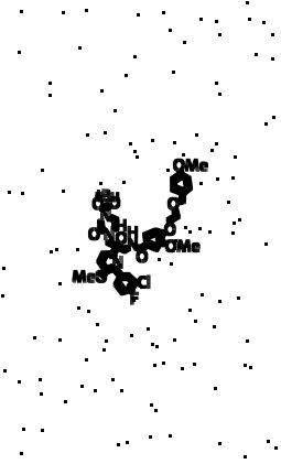 COc1ccc(COCCOc2ccc(C(=O)NCC(O)(CN3CCN(C(=O)OC(C)(C)C)CC3=O)c3ccc(OC)c(-c4ccc(F)c(Cl)c4)n3)cc2OC)cc1